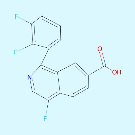 O=C(O)c1ccc2c(F)cnc(-c3cccc(F)c3F)c2c1